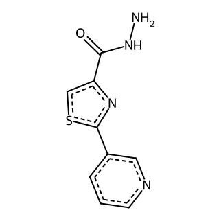 NNC(=O)c1csc(-c2cccnc2)n1